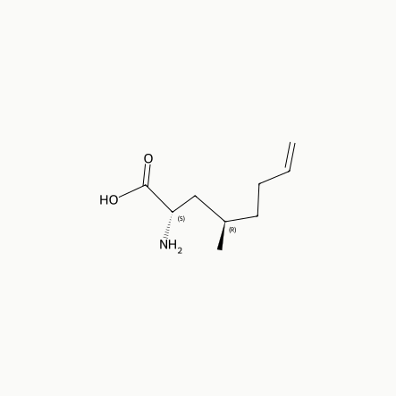 C=CCC[C@@H](C)C[C@H](N)C(=O)O